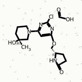 C[C@@]1(O)CCCN(c2cc(OC[C@@H]3CCC(=O)N3)nc(Cl)n2)C1.O=CO